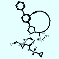 C=C[C@@H]1C[C@]1(NC(=O)[C@@H]1C[C@@]2(c3ccc(-c4ccccc4)cc3)CN1C(=O)[C@@H](NC(=O)O)CCCCCCC=CCS2)C(=O)NS(=O)(=O)C1CC1